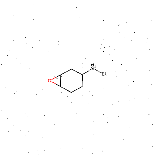 CC[SiH2]C1CCC2OC2C1